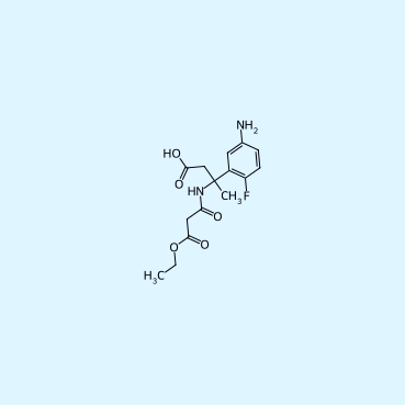 CCOC(=O)CC(=O)NC(C)(CC(=O)O)c1cc(N)ccc1F